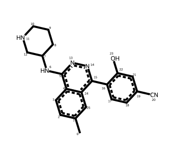 Cc1ccc2c(NC3CCCNC3)nnc(-c3ccc(C#N)cc3O)c2c1